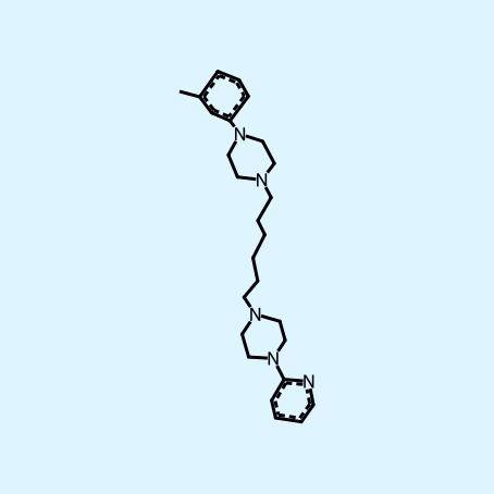 Cc1cccc(N2CCN(CCCCCCN3CCN(c4ccccn4)CC3)CC2)c1